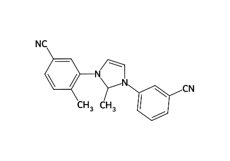 Cc1ccc(C#N)cc1N1C=CN(c2cccc(C#N)c2)C1C